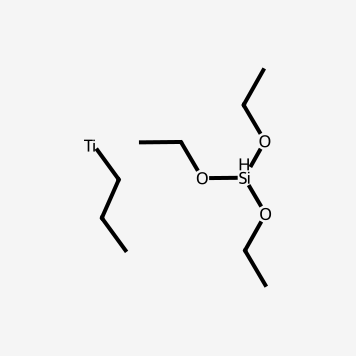 CCO[SiH](OCC)OCC.CC[CH2][Ti]